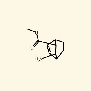 COC(=O)C1C2C=CC(CC2)C1N